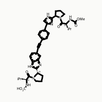 COC(=O)N[C@H](C(=O)N1CCCC1c1nc(-c2ccc(C#Cc3ccc4[nH]c([C@@H]5CCCN5C(=O)[C@@H](NC(=O)O)C(C)C)nc4c3)cc2)c[nH]1)C(C)C